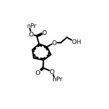 CCCOC(=O)c1ccc(C(=O)OCCC)c(OCCO)c1